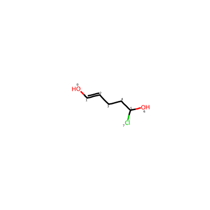 OC=CCCC(O)Cl